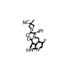 CC(C)[C@H](C(=O)N1CC(C)(C#N)C1)N1Cc2c(F)cnc3[nH]cc(c23)C1=O